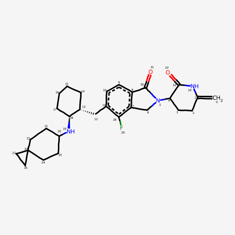 C=C1CCC(N2Cc3c(ccc(C[C@H]4CCCC[C@@H]4NC4CCC5(CC4)CC5)c3F)C2=O)C(=O)N1